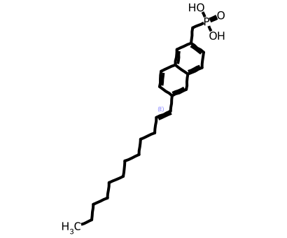 CCCCCCCCCC/C=C/c1ccc2cc(CP(=O)(O)O)ccc2c1